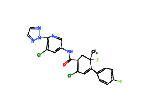 O=C(Nc1cnc(-n2nccn2)c(Cl)c1)C1=C(Cl)C=C(c2ccc(F)cc2)C(F)(C(F)(F)F)C1